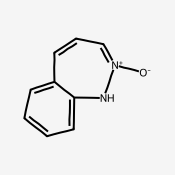 [O-][N+]1=CC=Cc2ccccc2N1